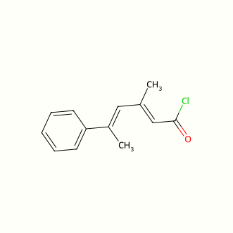 CC(=CC(=O)Cl)C=C(C)c1ccccc1